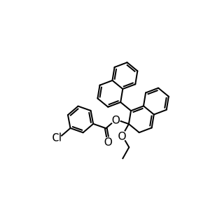 CCOC1(OC(=O)c2cccc(Cl)c2)CC=c2ccccc2=C1c1cccc2ccccc12